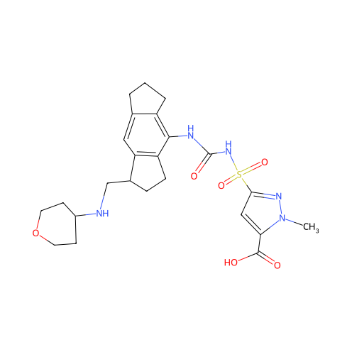 Cn1nc(S(=O)(=O)NC(=O)Nc2c3c(cc4c2CCC4CNC2CCOCC2)CCC3)cc1C(=O)O